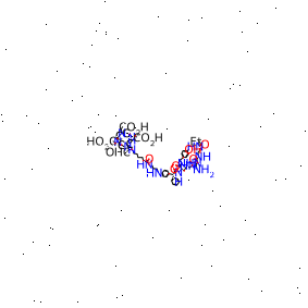 CCC(=O)NCCNC(=O)/N=C(/N)NCCC[C@@H](NC(=O)[C@@H](c1ccccc1)c1ccc(NCCCNC(=O)CCCCCNC(C=O)N2CCN(CC(=O)O)CCN(CC(=O)O)CCN(CC(=O)O)CC2)cc1)C(=O)NCc1ccc(O)cc1